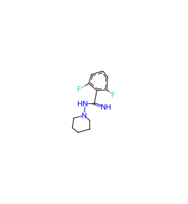 N=C(NN1CCCCC1)c1c(F)cccc1F